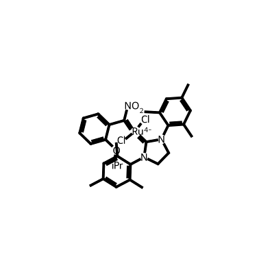 Cc1cc(C)c(N2CCN(c3c(C)cc(C)cc3C)[C]2=[Ru-4]([Cl])([Cl])=[C](c2ccccc2OC(C)C)[N+](=O)[O-])c(C)c1